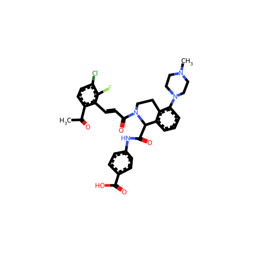 CC(=O)c1ccc(Cl)c(F)c1C=CC(=O)N1CCc2c(cccc2N2CCN(C)CC2)C1C(=O)Nc1ccc(C(=O)O)cc1